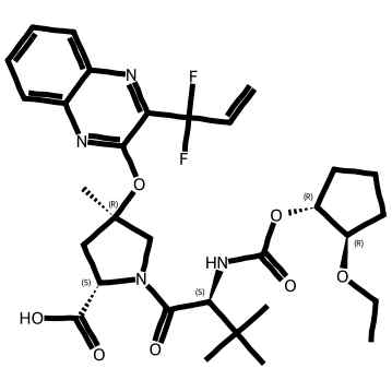 C=CC(F)(F)c1nc2ccccc2nc1O[C@]1(C)C[C@@H](C(=O)O)N(C(=O)[C@@H](NC(=O)O[C@@H]2CCC[C@H]2OCC)C(C)(C)C)C1